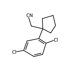 N#CCC1(c2cc(Cl)ccc2Cl)CCCC1